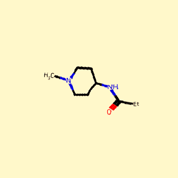 CCC(=O)NC1CCN(C)CC1